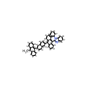 Cc1c2ccccc2c(-c2ccc3cc(-c4c5ccccc5c(-c5nc6ccccc6n5-c5ccccc5)c5ccccc45)ccc3c2)c2ccccc12